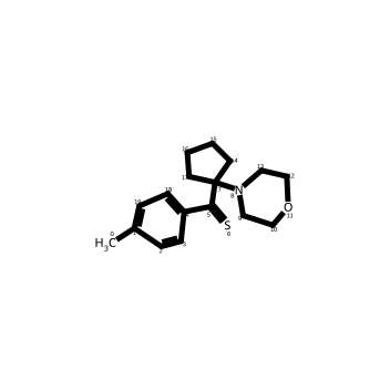 Cc1ccc(C(=S)C2(N3CCOCC3)CCCC2)cc1